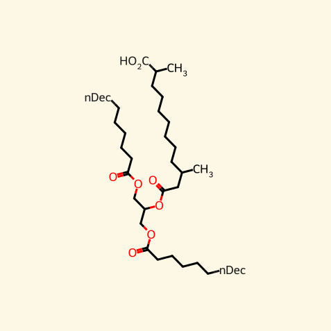 CCCCCCCCCCCCCCCC(=O)OCC(COC(=O)CCCCCCCCCCCCCCC)OC(=O)CC(C)CCCCCCCC(C)C(=O)O